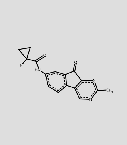 O=C1c2cc(NC(=O)C3(F)CC3)ccc2-c2cnc(C(F)(F)F)nc21